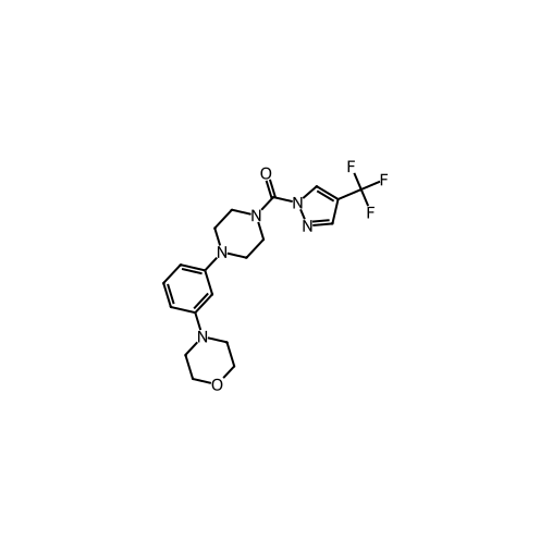 O=C(N1CCN(c2cccc(N3CCOCC3)c2)CC1)n1cc(C(F)(F)F)cn1